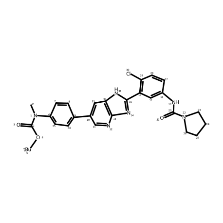 CN(C(=O)OC(C)(C)C)c1ccc(-c2cnc3nc(-c4cc(NC(=O)N5CCCC5)ccc4Cl)[nH]c3c2)cc1